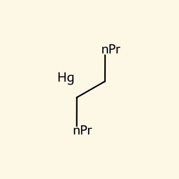 CCCCCCCC.[Hg]